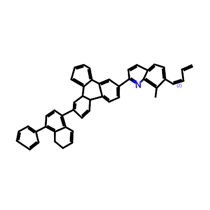 C=C/C=C\c1ccc2ccc(-c3ccc4c(c3)-c3ccccc3C3C=C(c5ccc(-c6ccccc6)c6c5C=CCC6)C=CC43)nc2c1C